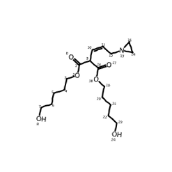 O=C(OCCCCCO)C(/C=C\CN1CC1)C(=O)OCCCCCO